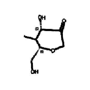 CC1[C@H](O)C(=O)CO[C@@H]1CO